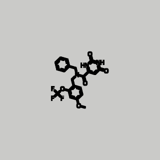 COc1ccc(CN(Cc2ccccc2)C(=O)c2cc(=O)[nH]c(=O)[nH]2)c(OC(F)(F)F)c1